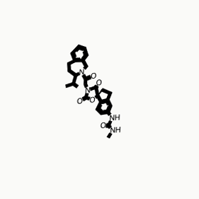 CNC(=O)Nc1ccc2c(c1)CC[C@]21OC(=O)N(CC(=O)N2Cc3ccccc3CCC2C(C)C)C1=O